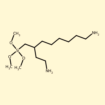 CO[Si](CC(CCN)CCCCCCN)(OC)OC